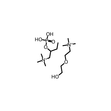 CCC(C[N+](C)(C)C)OP(=O)(O)O.C[N+](C)(C)CCOCCO